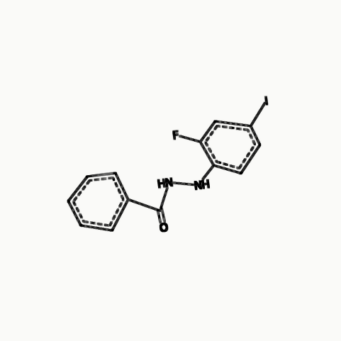 O=C(NNc1ccc(I)cc1F)c1ccccc1